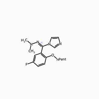 CCCCCOc1ccc(F)cc1/C(=N\N(C)C)n1ccnc1